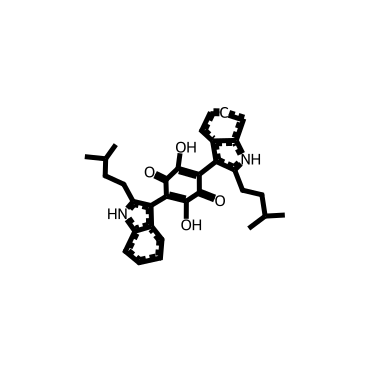 CC(C)CCc1[nH]c2ccccc2c1C1=C(O)C(=O)C(c2c(CCC(C)C)[nH]c3ccccc23)=C(O)C1=O